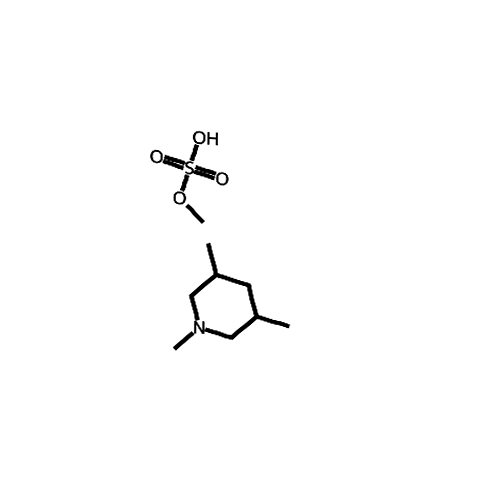 CC1CC(C)CN(C)C1.COS(=O)(=O)O